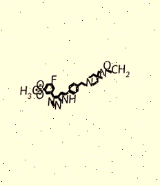 C=CC(=O)N1CC2(CCN(CCc3ccc(-c4cc5c(-c6cc(F)cc(S(C)(=O)=O)c6)ncnc5[nH]4)cc3)CC2)C1